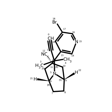 C#CC(C)(C)N1[C@@H]2CC[C@H]1C[C@](C#N)(c1cncc(Br)c1)C2